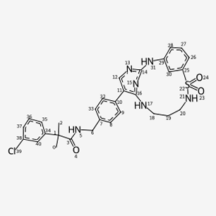 CC(C)(C(=O)NCc1ccc(-c2cnc3nc2NCCCNS(=O)(=O)c2cccc(c2)N3)cc1)c1cccc(Cl)c1